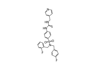 O=S(=O)(c1ccc(NC(=S)NCc2ccncc2)cc1)N(Cc1ccc(F)cc1)Cc1ccccc1F